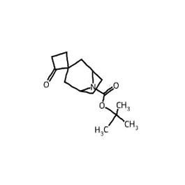 CC(C)(C)OC(=O)N1C2CCC1CC1(CCC1=O)C2